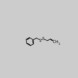 C=CCSSCc1ccccc1